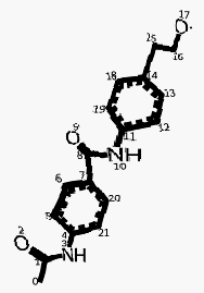 CC(=O)Nc1ccc(C(=O)Nc2ccc(CC[O])cc2)cc1